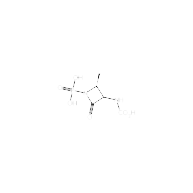 C[C@H]1C(NC(=O)O)C(=O)N1P(=O)(O)O